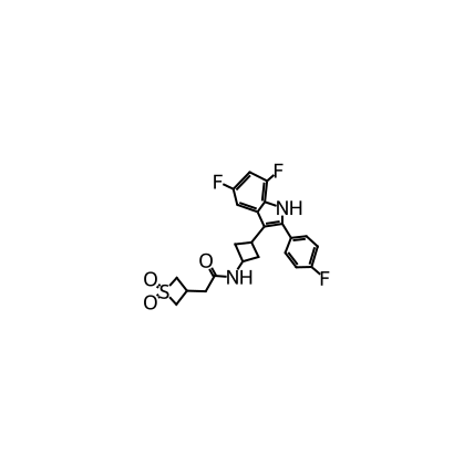 O=C(CC1CS(=O)(=O)C1)NC1CC(c2c(-c3ccc(F)cc3)[nH]c3c(F)cc(F)cc23)C1